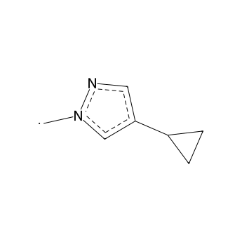 [CH2]n1cc(C2CC2)cn1